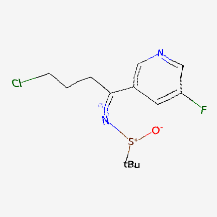 CC(C)(C)[S+]([O-])/N=C(/CCCCl)c1cncc(F)c1